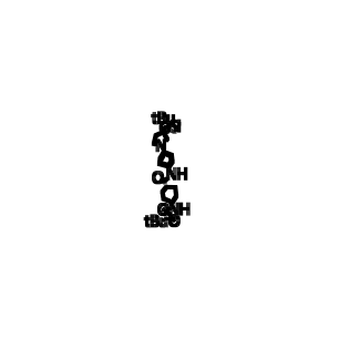 CC(C)(C)[Si](C)(C)OC1CCN(c2ccc(NC(=O)[C@H]3CC[C@H](NS(=O)(=O)C(C)(C)C)CC3)cc2)C1